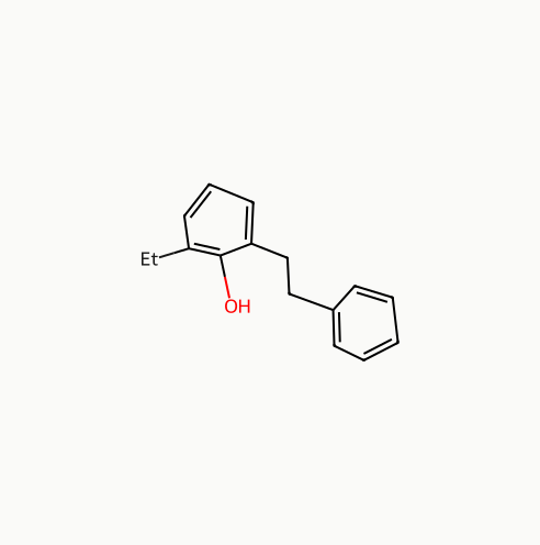 CCc1cccc(CCc2ccccc2)c1O